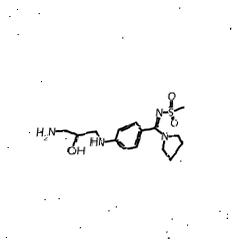 CS(=O)(=O)N=C(c1ccc(NCC(O)CN)cc1)N1CCCC1